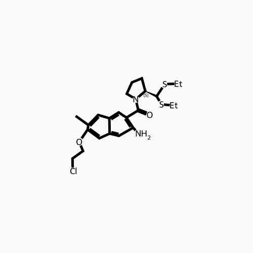 CCSC(SCC)[C@@H]1CCCN1C(=O)c1cc2cc(C)c(OCCCl)cc2cc1N